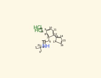 CC(C)(C)[NH][Ti][CH2]c1ccccc1C1=CC=CC1.Cl.Cl